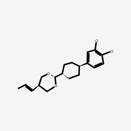 C/C=C/[C@H]1CO[C@H]([C@H]2CC[C@H](c3ccc(Cl)c(Cl)c3)CC2)OC1